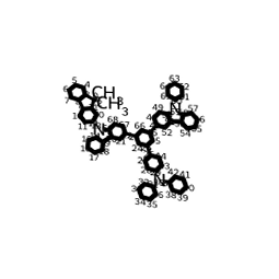 CC1(C)c2ccccc2-c2ccc(-n3c4ccccc4c4cc(-c5cc(-c6ccc(N(c7ccccc7)c7ccccc7)cc6)cc(-c6ccc7c(c6)c6ccccc6n7-c6ccccc6)c5)ccc43)cc21